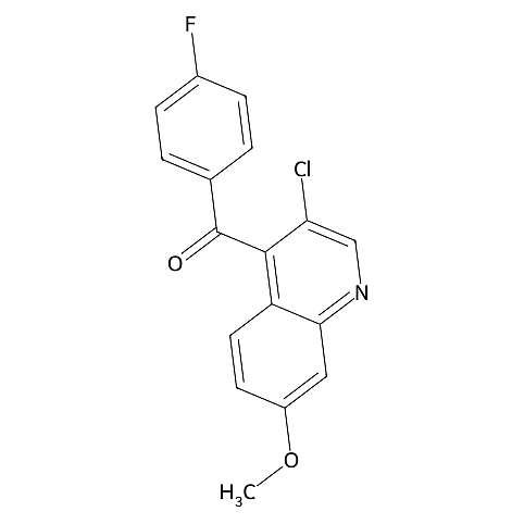 COc1ccc2c(C(=O)c3ccc(F)cc3)c(Cl)cnc2c1